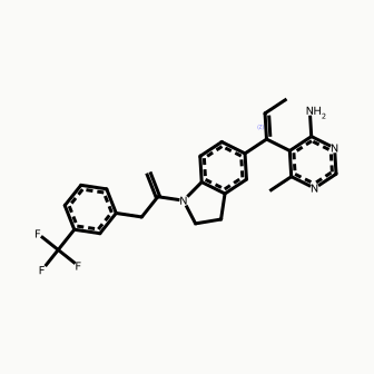 C=C(Cc1cccc(C(F)(F)F)c1)N1CCc2cc(/C(=C/C)c3c(C)ncnc3N)ccc21